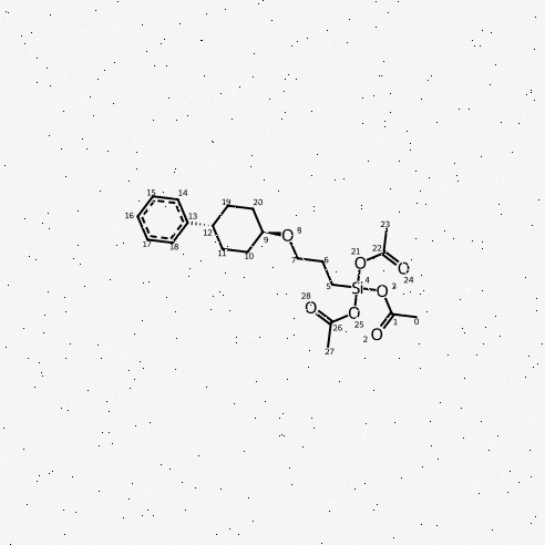 CC(=O)O[Si](CCCO[C@H]1CC[C@H](c2ccccc2)CC1)(OC(C)=O)OC(C)=O